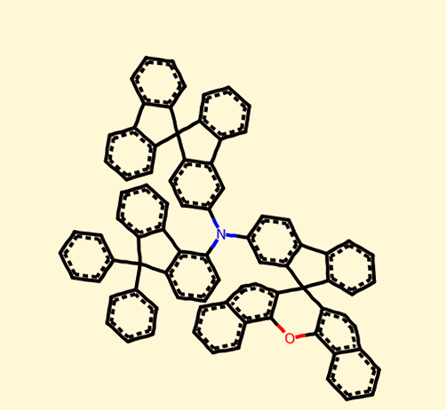 c1ccc(C2(c3ccccc3)c3ccccc3-c3c(N(c4ccc5c(c4)-c4ccccc4C54c5ccccc5-c5ccccc54)c4ccc5c(c4)C4(c6ccccc6-5)c5ccc6ccccc6c5Oc5c4ccc4ccccc54)cccc32)cc1